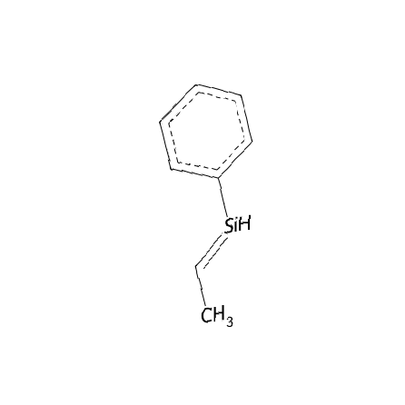 CC=[SiH]c1ccccc1